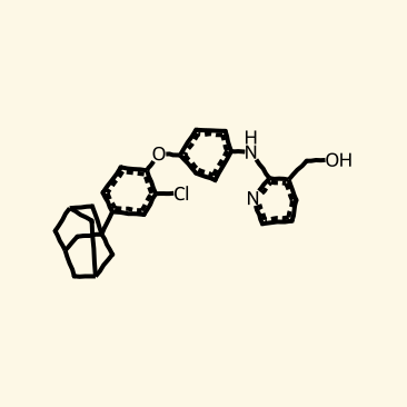 OCc1cccnc1Nc1ccc(Oc2ccc(C34CC5CC(CC(C5)C3)C4)cc2Cl)cc1